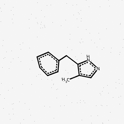 Cc1cn[nH]c1Cc1ccccc1